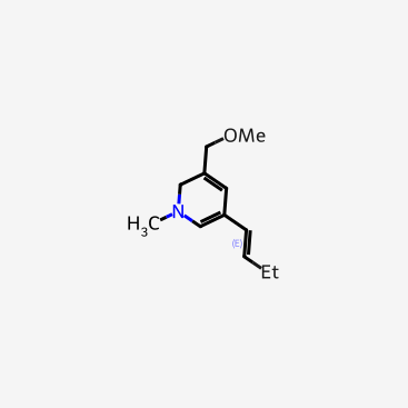 CC/C=C/C1=CN(C)CC(COC)=C1